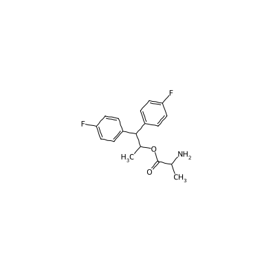 CC(N)C(=O)OC(C)C(c1ccc(F)cc1)c1ccc(F)cc1